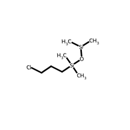 C[Si](C)O[Si](C)(C)CCCCl